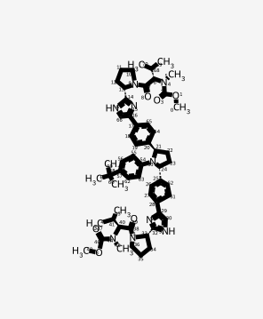 COC(=O)N(C)[C@H](C(=O)N1CCC[C@H]1c1nc(-c2ccc([C@H]3CC[C@H](c4ccc(-c5c[nH]c([C@@H]6CCCN6C(=O)[C@H](C(C)C)N(C)C(=O)OC)n5)cc4)N3c3ccc(C(C)(C)C)cc3)cc2)c[nH]1)C(C)C